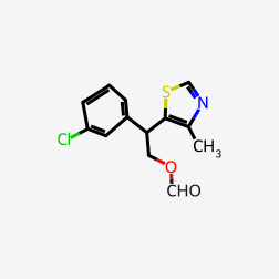 Cc1ncsc1C(COC=O)c1cccc(Cl)c1